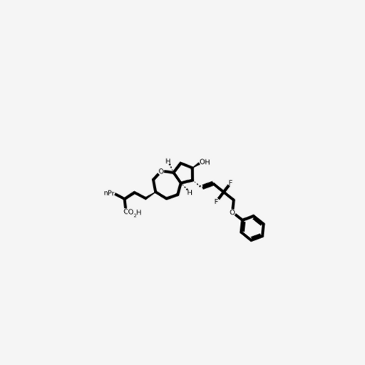 CCCC(CC[C@@H]1CC[C@@H]2[C@@H](C=CC(F)(F)COc3ccccc3)[C@H](O)C[C@@H]2OC1)C(=O)O